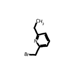 CCc1cccc(CBr)n1